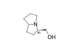 OC[C@H]1CCC2CCCN21